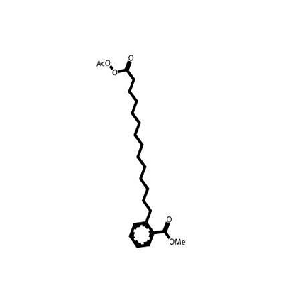 COC(=O)c1ccccc1CCCCCCCCCCCCCC(=O)OOC(C)=O